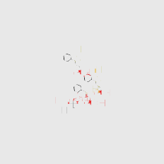 CCC(CO)(CO)CO.O=C(O)CCC(S)c1ccccc1.O=C(O)CCC(S)c1ccccc1.O=C(O)CCC(S)c1ccccc1